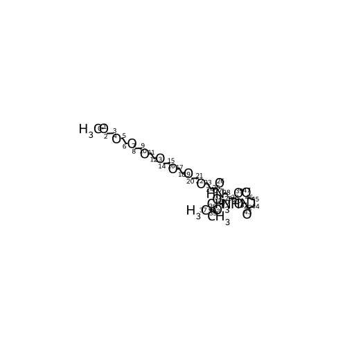 COCCOCCOCCOCCOCCOCCOCCOCCC(=O)NC[C@H](NC(=O)OC(C)(C)C)C(=O)ON1C(=O)CCC1=O